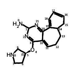 NC1N=C(O[C@H]2CCNC2)C2=CCCC3CC=CC=C3C2=N1